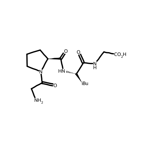 CC[C@H](C)[C@H](NC(=O)[C@@H]1CCCN1C(=O)CN)C(=O)NCC(=O)O